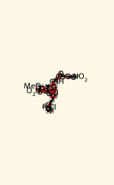 COc1ccc(CN(C(=O)C2=C(c3ccc(CCCOc4c(F)ccc(F)c4Cl)cc3)CC3CC(C(=O)NCCOC(=O)OCCOCCO[N+](=O)[O-])CC2N3C(=O)OCCOCCO[N+](=O)[O-])C2CC2)cc1C